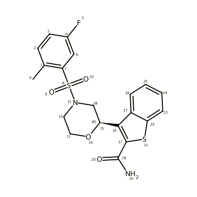 Cc1ccc(F)cc1S(=O)(=O)N1CCO[C@H](c2c(C(N)=O)sc3ccccc23)C1